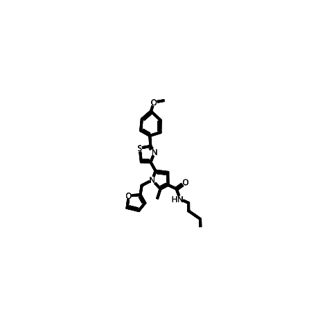 CCCCNC(=O)c1cc(-c2csc(-c3ccc(OC)cc3)n2)n(Cc2ccco2)c1C